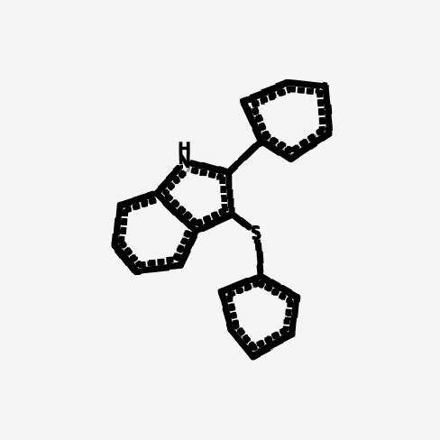 c1ccc(Sc2c(-c3ccccc3)[nH]c3ccccc23)cc1